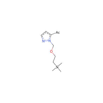 CC(=O)c1ccnn1COCC[Si](C)(C)C